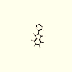 Cc1c(C)c(C)c2c(c1C)C(=O)C(c1ccccn1)C2=O